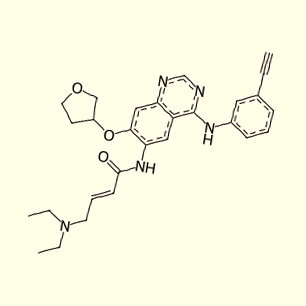 C#Cc1cccc(Nc2ncnc3cc(OC4CCOC4)c(NC(=O)C=CCN(CC)CC)cc23)c1